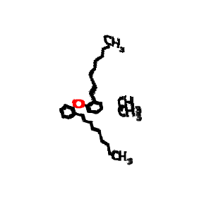 CC.CCCCCCCCCc1ccccc1Oc1ccccc1CCCCCCCCC